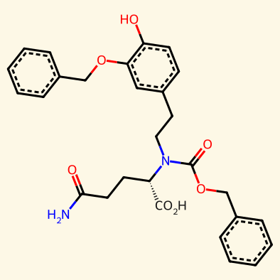 NC(=O)CC[C@@H](C(=O)O)N(CCc1ccc(O)c(OCc2ccccc2)c1)C(=O)OCc1ccccc1